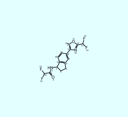 O=C(NC1CCc2cc(-c3noc(C(F)F)n3)ccc21)C(F)F